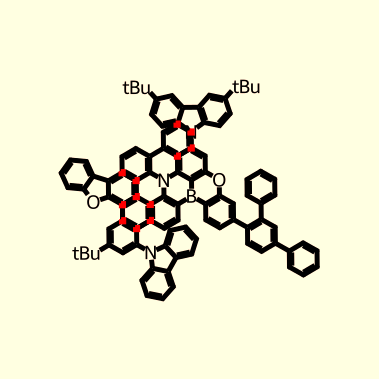 CC(C)(C)c1cc(-c2cccc3c2oc2ccccc23)c(-c2ccc3c(c2)N(c2c(-c4ccccc4)cccc2-c2ccccc2)c2cc(-n4c5ccc(C(C)(C)C)cc5c5cc(C(C)(C)C)ccc54)cc4c2B3c2ccc(-c3ccc(-c5ccccc5)cc3-c3ccccc3)cc2O4)c(-n2c3ccccc3c3ccccc32)c1